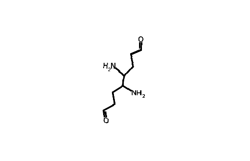 NC(CCC=O)C(N)CCC=O